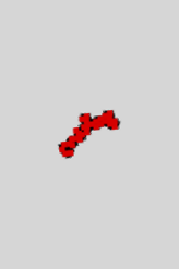 CC1(C)c2cc(-c3ccc(-c4cccc5ccccc45)cc3)ccc2-c2ccc(N(c3ccccc3)c3ccc4cc(-c5cc6ccccc6c6ccccc56)ccc4c3)cc21